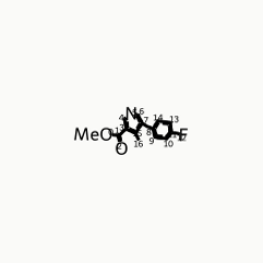 COC(=O)c1cncc(-c2ccc(F)cc2)c1C